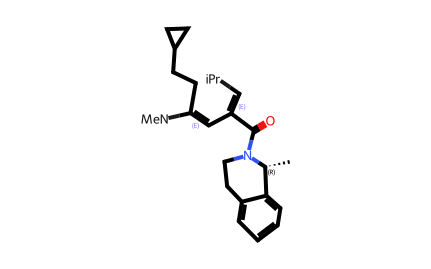 CN/C(=C/C(=C\C(C)C)C(=O)N1CCc2ccccc2[C@H]1C)CCC1CC1